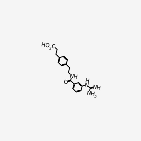 N=C(N)Nc1cccc(C(=O)NCCc2ccc(CCC(=O)O)cc2)c1